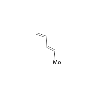 C=CC=[CH][Mo]